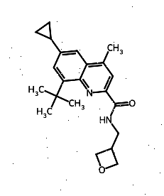 Cc1cc(C(=O)NCC2COC2)nc2c(C(C)(C)C)cc(C3CC3)cc12